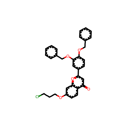 O=c1cc(-c2ccc(OCc3ccccc3)c(OCc3ccccc3)c2)oc2cc(OCCCCl)ccc12